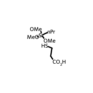 CCC[Si](OC)(OC)OC.O=C(O)CCS